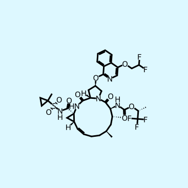 C[C@H]1CC/C=C\[C@@H]2C[C@@]2(C(=O)NS(=O)(=O)C2(C)CC2)NC(=O)[C@@H]2C[C@@H](Oc3ncc(OCC(F)F)c4ccccc34)CN2C(=O)[C@@H](NC(=O)O[C@H](C)C(F)(F)F)[C@H](C)C1